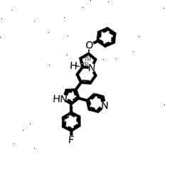 Fc1ccc(-c2[nH]cc(C3=CCN4C[C@@H](Oc5ccccc5)C[C@@H]4C3)c2-c2ccncc2)cc1